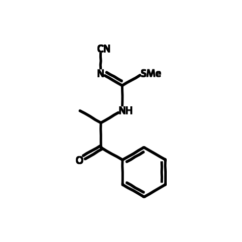 CSC(=NC#N)NC(C)C(=O)c1ccccc1